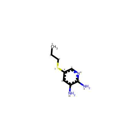 CCCSc1cnc(N)c(N)c1